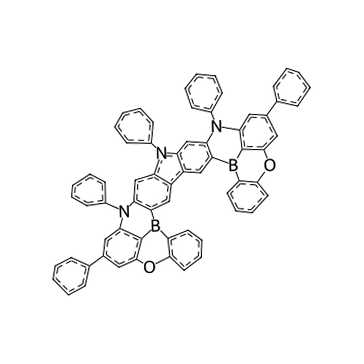 c1ccc(-c2cc3c4c(c2)N(c2ccccc2)c2cc5c(cc2B4c2ccccc2O3)c2cc3c(cc2n5-c2ccccc2)N(c2ccccc2)c2cc(-c4ccccc4)cc4c2B3c2ccccc2O4)cc1